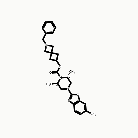 C[C@@H]1CN(c2nc3ccc(C(F)(F)F)cc3o2)C[C@@H](C)N1C(=O)OC1CC2(C1)CN(Cc1ccccc1)C2